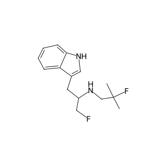 CC(C)(F)CNC(CF)Cc1c[nH]c2ccccc12